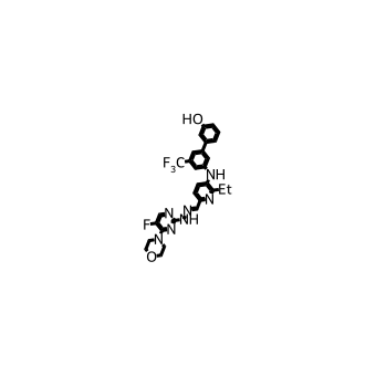 CCc1nc(/C=N/Nc2ncc(F)c(N3CCOCC3)n2)ccc1Nc1cc(-c2cccc(O)c2)cc(C(F)(F)F)c1